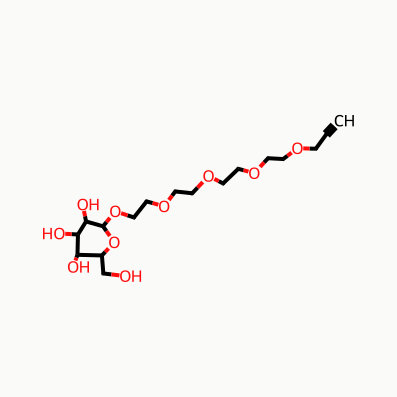 C#CCOCCOCCOCCOCCOC1OC(CO)C(O)C(O)C1O